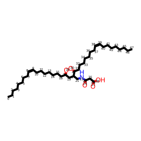 CCCCCCCC/C=C\CCCCCCCC(=O)CC(CNC(=O)CC(=O)O)C(=O)CCCCCCC/C=C\CCCCCCCC